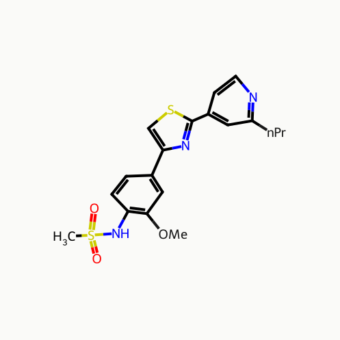 CCCc1cc(-c2nc(-c3ccc(NS(C)(=O)=O)c(OC)c3)cs2)ccn1